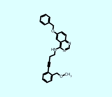 COCc1ccccc1C#CCCNc1ncnc2ccc(OCc3ccccc3)cc12